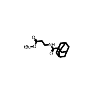 CC(C)(C)OC(=O)CCNC(=O)C12CC3CC(CC(C3)C1)C2